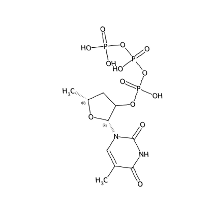 Cc1cn([C@@H]2O[C@H](C)CC2OP(=O)(O)OP(=O)(O)OP(=O)(O)O)c(=O)[nH]c1=O